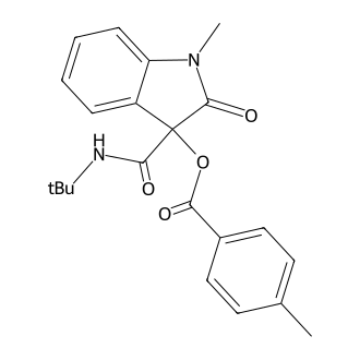 Cc1ccc(C(=O)OC2(C(=O)NC(C)(C)C)C(=O)N(C)c3ccccc32)cc1